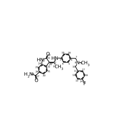 C/C(Nc1ccc(CN(C)Cc2ccc(F)cc2)cc1)=C1/C(=O)Nc2cc(C(N)=O)ccc21